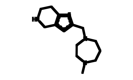 CN1CCCN(Cc2cc3c(s2)CCNC3)CC1